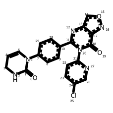 O=C1NCC=CN1c1ccc(-c2nc3conc3c(=O)n2-c2ccc(Cl)cn2)cc1